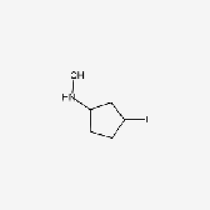 ONC1CCC(I)C1